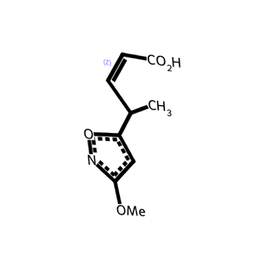 COc1cc(C(C)/C=C\C(=O)O)on1